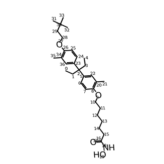 CCC(CC)(c1ccc(OCCCCCCC(=O)NO)c(C)c1)c1ccc(OCCC(C)(C)C)c(C)c1